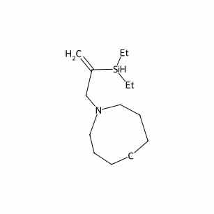 C=C(CN1CCCCCCC1)[SiH](CC)CC